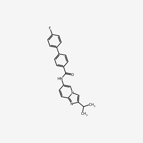 CC(C)c1cn2cc(NC(=O)c3ccc(-c4ccc(F)cc4)cc3)ccc2n1